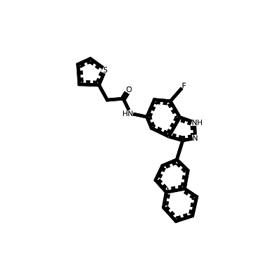 O=C(Cc1cccs1)Nc1cc(F)c2[nH]nc(-c3ccc4ccccc4c3)c2c1